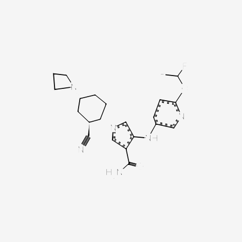 N#C[C@H]1C[C@H](N2CCC2)CC[C@@H]1n1cc(Nc2ccc(OC(F)F)nc2)c(C(N)=O)c1